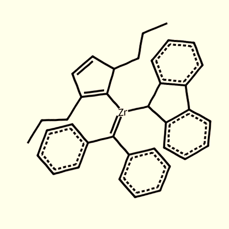 CCCC1=[C]([Zr](=[C](c2ccccc2)c2ccccc2)[CH]2c3ccccc3-c3ccccc32)C(CCC)C=C1